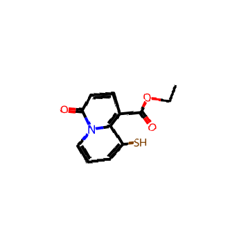 CCOC(=O)c1ccc(=O)n2cccc(S)c12